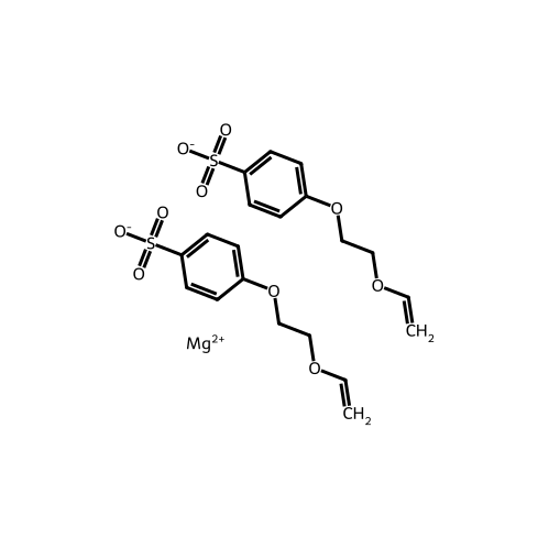 C=COCCOc1ccc(S(=O)(=O)[O-])cc1.C=COCCOc1ccc(S(=O)(=O)[O-])cc1.[Mg+2]